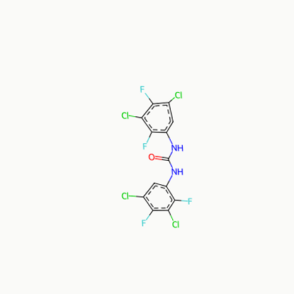 O=C(Nc1cc(Cl)c(F)c(Cl)c1F)Nc1cc(Cl)c(F)c(Cl)c1F